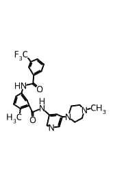 Cc1ccc(NC(=O)c2cccc(C(F)(F)F)c2)cc1C(=O)Nc1cncc(N2CCN(C)CC2)c1